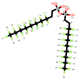 O[Si](O)(CCC(F)(F)C(F)(F)C(F)(F)C(F)(F)C(F)(F)C(F)(F)C(F)(F)C(F)(F)F)O[Si](O)(O)CCC(F)(F)C(F)(F)C(F)(F)C(F)(F)C(F)(F)C(F)(F)C(F)(F)C(F)(F)F